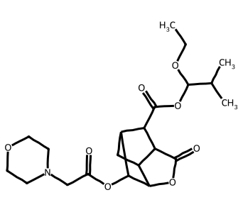 CCOC(OC(=O)C1C2CC3C(OC(=O)C31)C2OC(=O)CN1CCOCC1)C(C)C